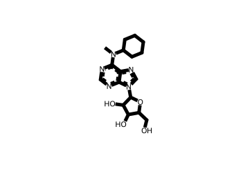 CN(c1ncnc2c1ncn2C1OC(CO)C(O)C1O)C1CCCCC1